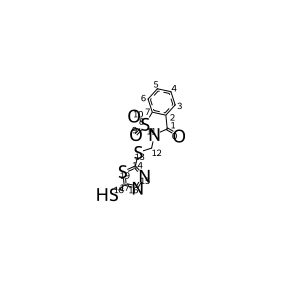 O=C1c2ccccc2S(=O)(=O)N1CSc1nnc(S)s1